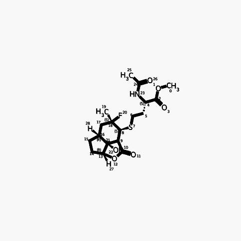 COC(=O)[C@H](CCS[C@H]1C2C(=O)O[C@@H]3CC[C@H](C[C@]1(C)F)[C@]23O)NC(C)=O